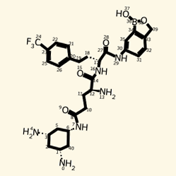 N[C@@H]1C[C@H](N)C[C@H](NC(=O)CC[C@H](N)C(=O)N[C@H](CCc2ccc(C(F)(F)F)cc2)C(=O)Nc2ccc3c(c2)B(O)OC3)C1